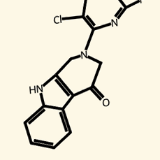 O=C1CN(c2nc(F)ccc2Cl)Cc2[nH]c3ccccc3c21